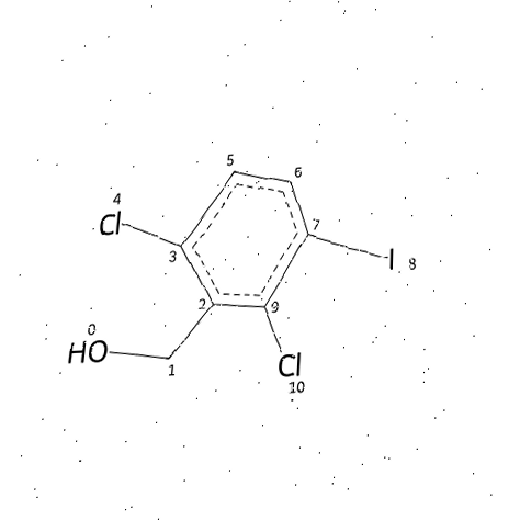 OCc1c(Cl)ccc(I)c1Cl